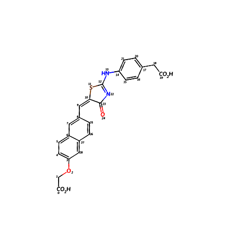 O=C(O)COc1ccc2cc(C=C3SC(Nc4ccc(CC(=O)O)cc4)=NC3=O)ccc2c1